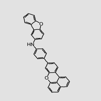 c1cc2c3c(cccc3c1)-c1ccc(-c3ccc(Nc4ccc5oc6ccccc6c5c4)cc3)cc1O2